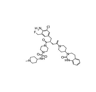 C=C(C[C@H](Cc1cc(Cl)c(N)c(CF)c1)C(=O)N1CCN(S(=O)(=O)NC2CCN(C)CC2)CC1)N1CCC(N2CCc3ccccc3NC2=O)CC1